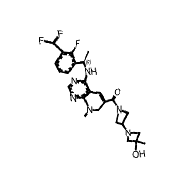 C[C@@H](Nc1ncnc2c1C=C(C(=O)N1CC(N3CC(C)(O)C3)C1)CN2C)c1cccc(C(F)F)c1F